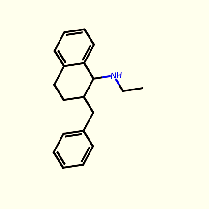 CCNC1c2ccccc2CCC1Cc1ccccc1